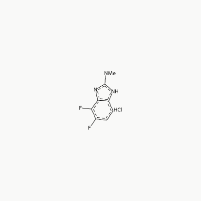 CNc1nc2c(F)c(F)ccc2[nH]1.Cl